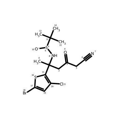 CC(CC(=O)CC#N)(N[S+]([O-])C(C)(C)C)c1sc(Br)cc1Cl